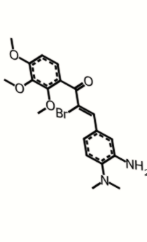 COc1ccc(C(=O)C(Br)=Cc2ccc(N(C)C)c(N)c2)c(OC)c1OC